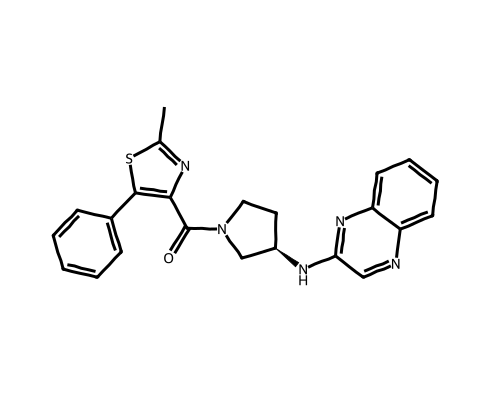 Cc1nc(C(=O)N2CC[C@@H](Nc3cnc4ccccc4n3)C2)c(-c2ccccc2)s1